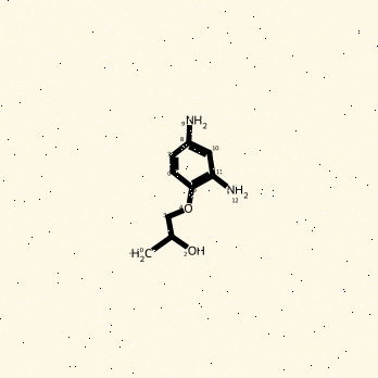 [CH2]C(O)COc1ccc(N)cc1N